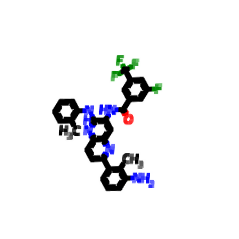 Cc1ccccc1Nc1nc2ccc(-c3cccc(N)c3C)nc2cc1NC(=O)c1cc(F)cc(C(F)(F)F)c1